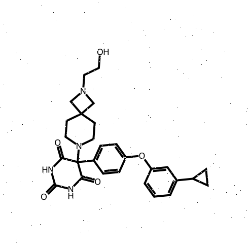 O=C1NC(=O)C(c2ccc(Oc3cccc(C4CC4)c3)cc2)(N2CCC3(CC2)CN(CCO)C3)C(=O)N1